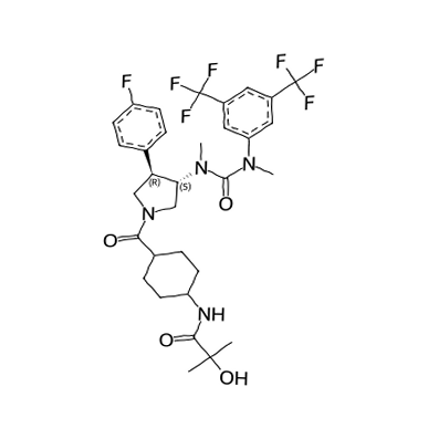 CN(C(=O)N(C)[C@@H]1CN(C(=O)C2CCC(NC(=O)C(C)(C)O)CC2)C[C@H]1c1ccc(F)cc1)c1cc(C(F)(F)F)cc(C(F)(F)F)c1